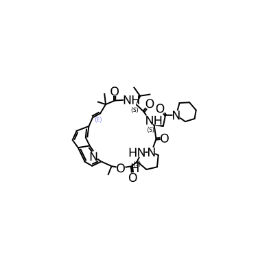 CC1OC(=O)[C@@H]2CCCN(N2)C(=O)[C@H](CC(=O)N2CCCCC2)NC(=O)[C@H](C(C)C)NC(=O)C(C)(C)/C=C/c2ccc3ccc1nc3c2